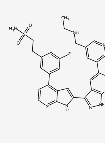 CCNCc1cncc(-c2cc3c(-c4cc5c(-c6cc(F)cc(CCS(N)(=O)=O)c6)ccnc5[nH]4)n[nH]c3cn2)c1